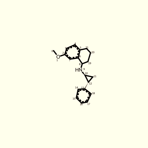 COc1ccc2c(c1)C(N[C@H]1C[C@@H]1c1ccccc1)CCC2